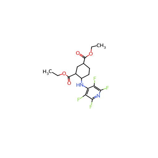 CCOC(=O)C1CCC(Nc2c(F)c(F)nc(F)c2F)C(C(=O)OCC)C1